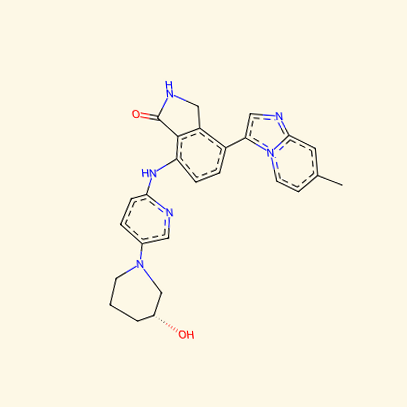 Cc1ccn2c(-c3ccc(Nc4ccc(N5CCC[C@@H](O)C5)cn4)c4c3CNC4=O)cnc2c1